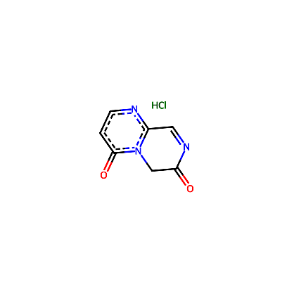 Cl.O=C1Cn2c(nccc2=O)C=N1